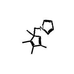 CC1=CC(C)(Cn2cccc2)C(C)=C1C